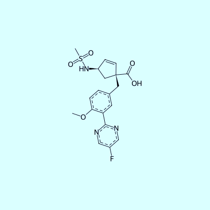 COc1ccc(C[C@]2(C(=O)O)C=C[C@H](NS(C)(=O)=O)C2)cc1-c1ncc(F)cn1